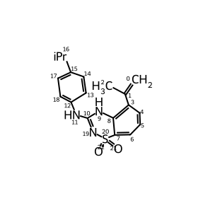 C=C(C)c1cccc2c1NC(Nc1ccc(C(C)C)cc1)=NS2(=O)=O